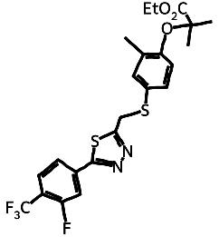 CCOC(=O)C(C)(C)Oc1ccc(SCc2nnc(-c3ccc(C(F)(F)F)c(F)c3)s2)cc1C